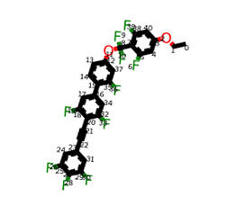 CCOc1cc(F)c(C(F)(F)Oc2ccc(-c3cc(F)c(C#Cc4cc(F)c(F)c(F)c4)c(F)c3)c(F)c2)c(F)c1